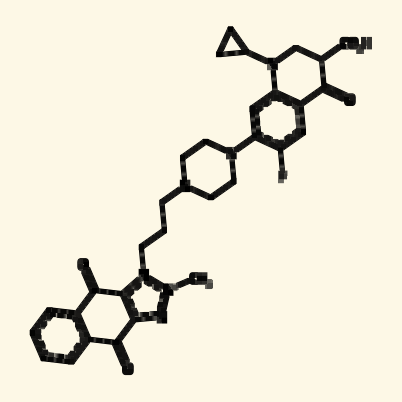 C[n+]1nc2c(n1CCCN1CCN(c3cc4c(cc3F)C(=O)C(C(=O)O)CN4C3CC3)CC1)C(=O)c1ccccc1C2=O